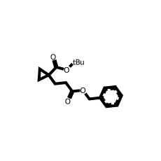 CC(C)(C)OC(=O)C1(CCC(=O)OCc2ccccc2)CC1